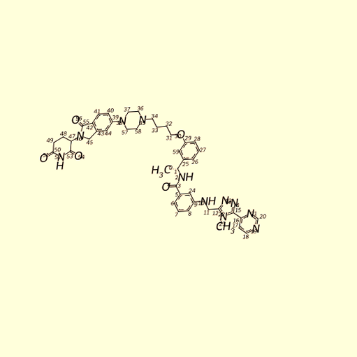 C[C@@H](NC(=O)c1cccc(NCc2nnc(-c3ccncn3)n2C)c1)c1cccc(OCCCCN2CCN(c3ccc4c(c3)CN(C3CCC(=O)NC3=O)C4=O)CC2)c1